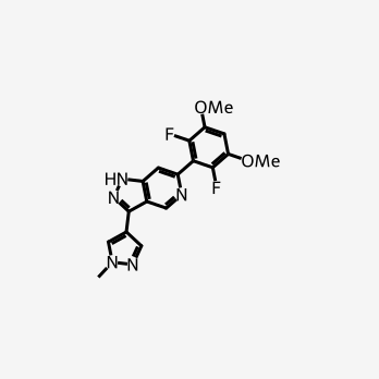 COc1cc(OC)c(F)c(-c2cc3[nH]nc(-c4cnn(C)c4)c3cn2)c1F